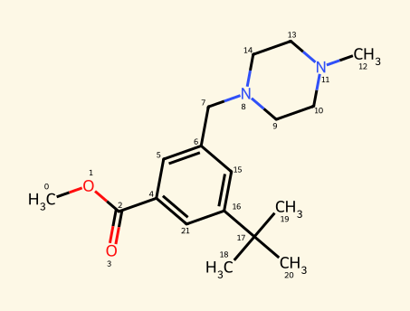 COC(=O)c1cc(CN2CCN(C)CC2)cc(C(C)(C)C)c1